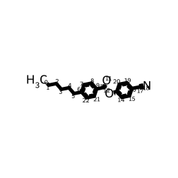 CCCCCCc1ccc(C(=O)Oc2ccc(C#N)cc2)cc1